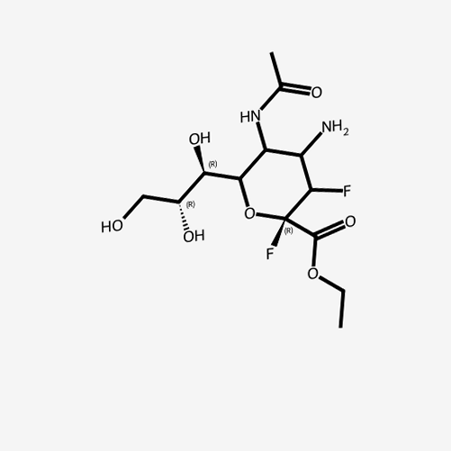 CCOC(=O)[C@]1(F)OC([C@H](O)[C@H](O)CO)C(NC(C)=O)C(N)C1F